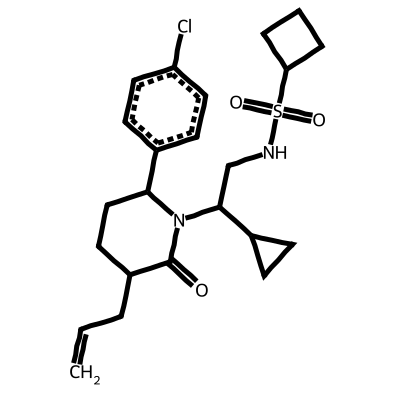 C=CCC1CCC(c2ccc(Cl)cc2)N(C(CNS(=O)(=O)C2CCC2)C2CC2)C1=O